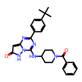 CC(C)(C)c1ccc(-c2nc(NC3CCN(C(=O)c4ccccc4)CC3)n3[nH]c(=O)cc3n2)cc1